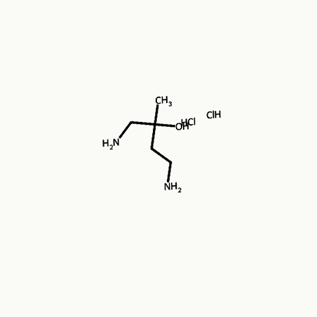 CC(O)(CN)CCN.Cl.Cl